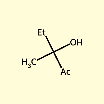 CCC(C)(O)C(C)=O